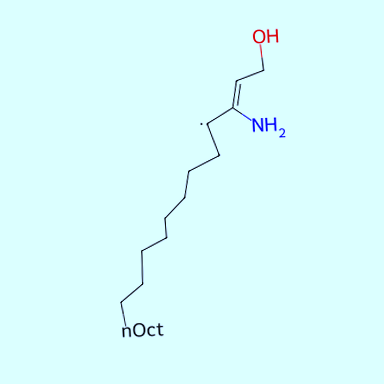 CCCCCCCCCCCCCCCC[CH]C(N)=CCO